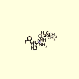 C[Si](C)(C)C#CC(=O)N/N=C(\N)c1nn(Cc2ccccc2F)c2ncccc12